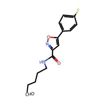 O=CCCCCNC(=O)c1cc(-c2ccc(F)cc2)on1